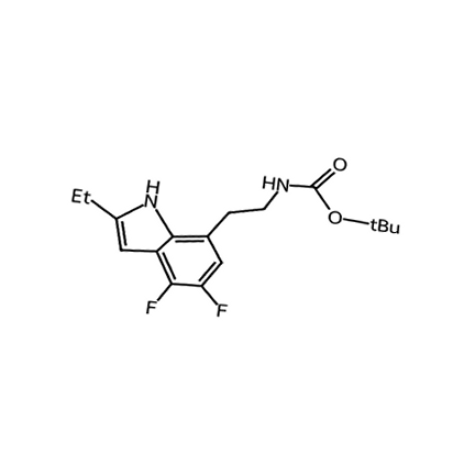 [CH2]Cc1cc2c(F)c(F)cc(CCNC(=O)OC(C)(C)C)c2[nH]1